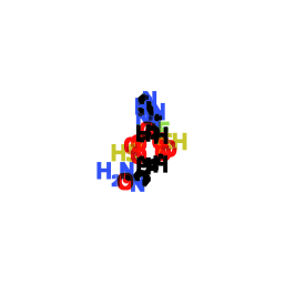 NC(=O)c1cc([C@@H]2C[C@@H]3CO[P@](=O)(S)O[C@H]4[C@@H](F)[C@H](n5cnc6c5ncn5ccnc65)O[C@@H]4CO[P@@](=O)(S)OC[C@H]32)ccn1